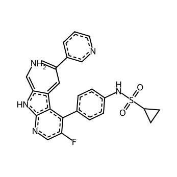 C=C(/C=c1\c(=C/N)[nH]c2ncc(F)c(-c3ccc(NS(=O)(=O)C4CC4)cc3)c12)c1cccnc1